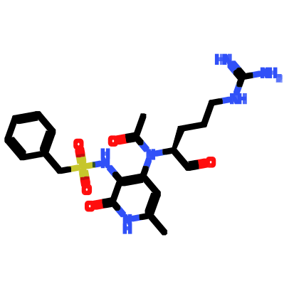 CC(=O)N(c1cc(C)[nH]c(=O)c1NS(=O)(=O)Cc1ccccc1)[C@H](C=O)CCCNC(=N)N